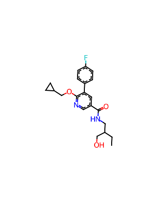 CCC(CO)CNC(=O)c1cnc(OCC2CC2)c(-c2ccc(F)cc2)c1